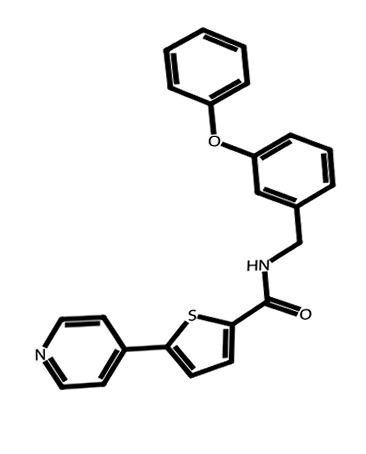 O=C(NCc1cccc(Oc2ccccc2)c1)c1ccc(-c2ccncc2)s1